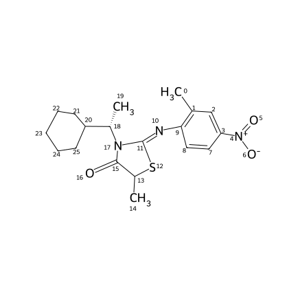 Cc1cc([N+](=O)[O-])ccc1N=C1SC(C)C(=O)N1[C@@H](C)C1CCCCC1